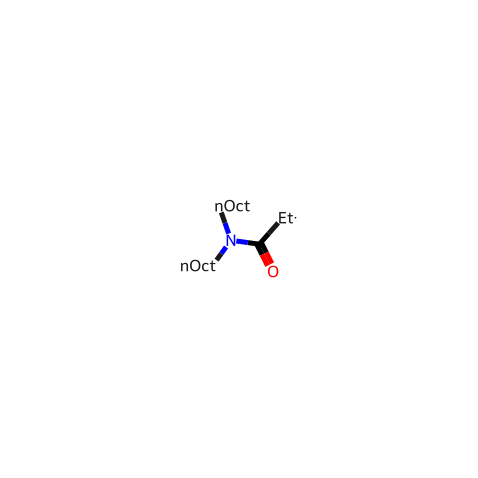 C[CH]C(=O)N(CCCCCCCC)CCCCCCCC